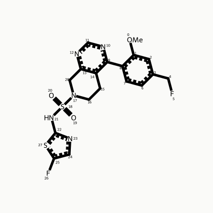 COc1cc(CF)ccc1-c1ncnc2c1CCN(S(=O)(=O)Nc1ncc(F)s1)C2